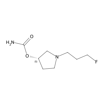 NC(=O)O[C@H]1CCN(CCCF)C1